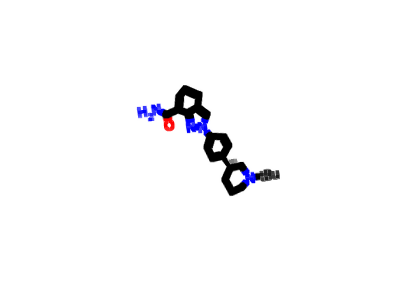 CC(C)(C)N1CCC[C@@H](c2ccc(-n3cc4cccc(C(N)=O)c4n3)cc2)C1